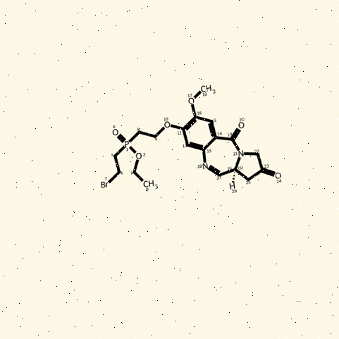 CCOP(=O)(CCBr)CCOc1cc2c(cc1OC)C(=O)N1CC(=O)C[C@H]1C=N2